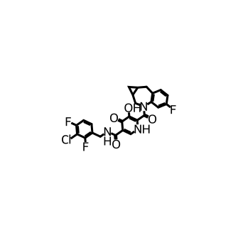 O=C(NCc1ccc(F)c(Cl)c1F)c1c[nH]c(C(=O)N2CC3CC3Cc3ccc(F)cc32)c(O)c1=O